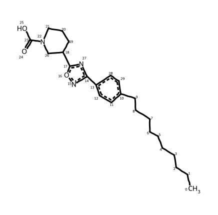 CCCCCCCCCCc1ccc(-c2noc(C3CCCN(C(=O)O)C3)n2)cc1